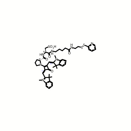 CN1/C(=C/C2=C(N3CCC[C@@H]3C(=O)N[C@@H](CS(=O)(=O)O)C(=O)NCCCCC(=O)NCCSSc3ccccn3)C(=C/C3=[N+](C)c4ccccc4C3(C)C)/C2=O)C(C)(C)c2ccccc21